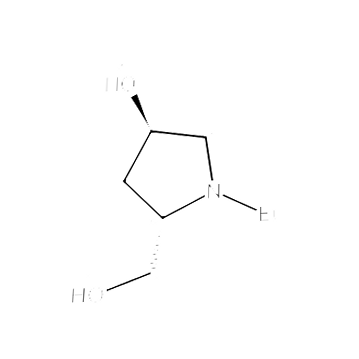 CCN1C[C@H](O)C[C@H]1CO